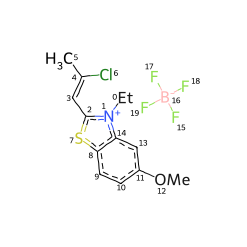 CC[n+]1c(C=C(C)Cl)sc2ccc(OC)cc21.F[B-](F)(F)F